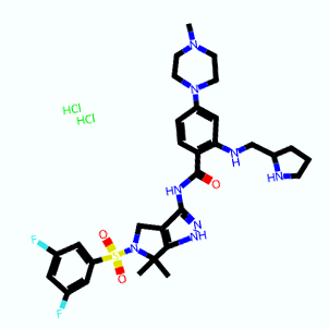 CN1CCN(c2ccc(C(=O)Nc3n[nH]c4c3CN(S(=O)(=O)c3cc(F)cc(F)c3)C4(C)C)c(NCC3CCCN3)c2)CC1.Cl.Cl